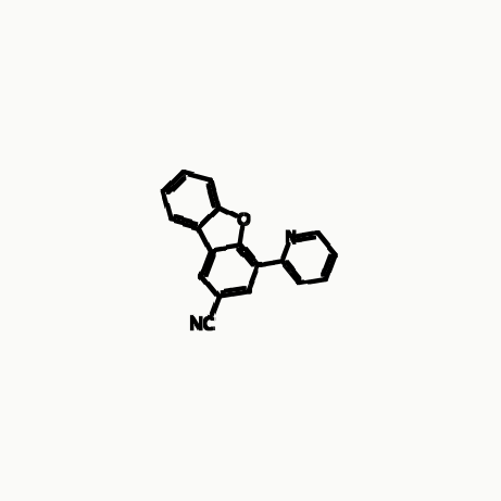 N#Cc1cc(-c2ccccn2)c2oc3ccccc3c2c1